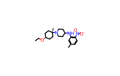 CCO[C@H]1CC[C@](C)(N2CCC(Nc3cc(C)ccc3[N+](=O)[O-])CC2)CC1